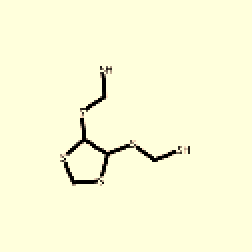 SCSC1SCSC1SCS